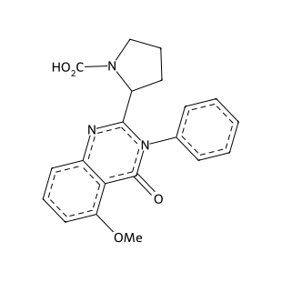 COc1cccc2nc(C3CCCN3C(=O)O)n(-c3ccccc3)c(=O)c12